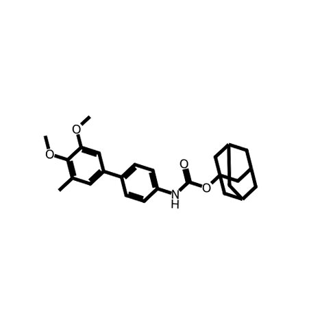 COc1cc(-c2ccc(NC(=O)OC34CC5CC(CC(C5)C3)C4)cc2)cc(C)c1OC